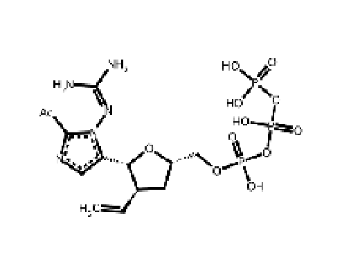 C=C[C@@H]1C[C@@H](COP(=O)(O)OP(=O)(O)OP(=O)(O)O)O[C@H]1c1cnc(C(C)=O)n1N=C(N)N